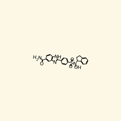 NC(=O)c1ccc2[nH]c(-c3ccc(S(=O)(=O)N(O)C4CCc5ccccc54)cc3)nc2c1